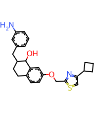 Nc1cccc(CC2CCc3ccc(OCc4nc(C5CCC5)cs4)cc3C2O)c1